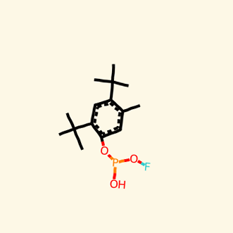 Cc1cc(OP(O)OF)c(C(C)(C)C)cc1C(C)(C)C